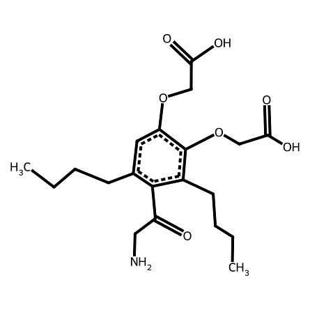 CCCCc1cc(OCC(=O)O)c(OCC(=O)O)c(CCCC)c1C(=O)CN